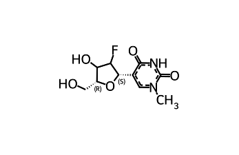 Cn1cc([C@@H]2O[C@H](CO)C(O)C2F)c(=O)[nH]c1=O